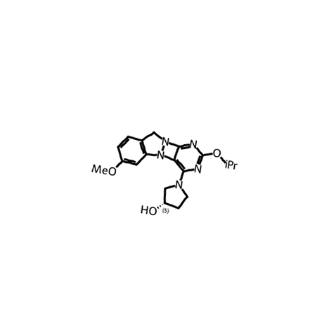 COc1ccc2c(c1)-n1c3c(N4CC[C@H](O)C4)nc(OC(C)C)nc3n1C2